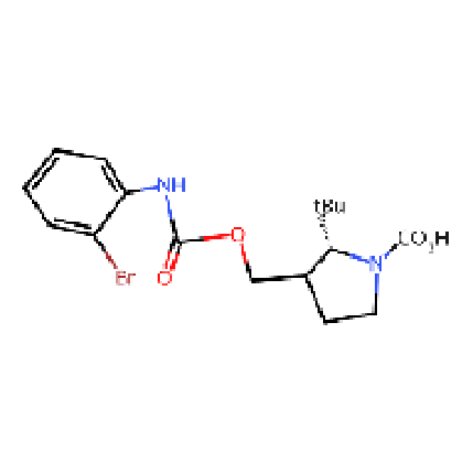 CC(C)(C)[C@H]1C(COC(=O)Nc2ccccc2Br)CCN1C(=O)O